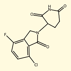 O=C1CCC(N2Cc3c(F)ccc(Cl)c3C2=O)C(=O)N1